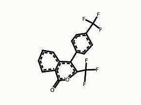 O=c1oc(C(F)(F)F)c(-c2ccc(C(F)(F)F)cc2)c2ccccc12